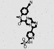 CN(C(=O)c1cn2c(-c3ccc(NS(C)(=O)=O)nc3)cnc2cn1)c1ccc(C#N)cc1